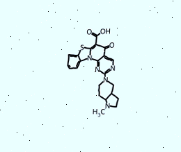 CN1CCC2CN(c3ncc4c(=O)c(C(=O)O)c5sc6ccccc6n5c4n3)CCC21